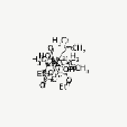 C=C(C)C1=C(C)C2(O)C(O)(C1=O)[C@@]1(C)CC(=O)OC23C(OCC)C(C)CC[C@@]31OCC